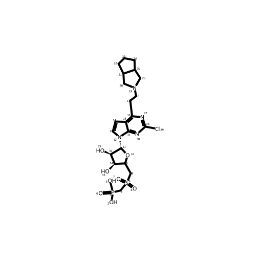 O=P(O)(O)CS(=O)(=O)CC1O[C@@H](n2ccc3c(CCN4CC5CCCC5C4)nc(Cl)nc32)[C@H](O)[C@@H]1O